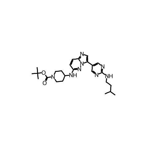 CC(C)CCNc1ncc(-c2cnc3ccc(NC4CCN(C(=O)OC(C)(C)C)CC4)nn23)cn1